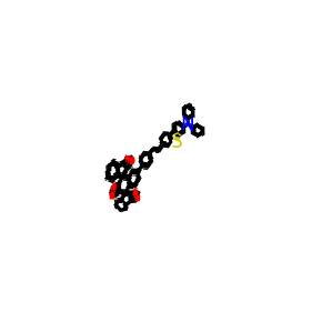 C(=C\c1ccc2c(c1)sc1cc(N(c3ccccc3)c3ccccc3)ccc12)/c1ccc(-c2ccc3c(c2)C2(c4ccccc4-c4ccccc42)c2ccccc2C32c3ccccc3-c3ccccc32)cc1